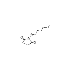 CCCCCCSN1C(=O)CCC1=O